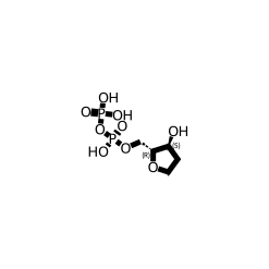 O=P(O)(O)OP(=O)(O)OC[C@H]1O[CH]C[C@@H]1O